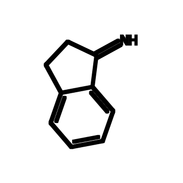 N=C1CCc2ccccc21